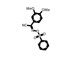 COc1ccc(/C(C#N)=N\OS(=O)(=O)c2ccccc2)cc1OC